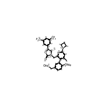 COc1ccc(CC=O)cc1-c1c(C)cc(N2CCC2)nc1CN1C(=O)OC(c2cc(C(F)(F)F)cc(C(F)(F)F)c2)[C@@H]1C